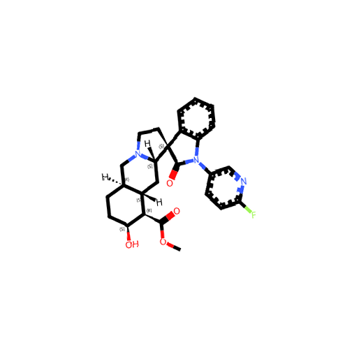 COC(=O)[C@@H]1[C@H]2C[C@@H]3N(CC[C@@]34C(=O)N(c3ccc(F)nc3)c3ccccc34)C[C@@H]2CC[C@@H]1O